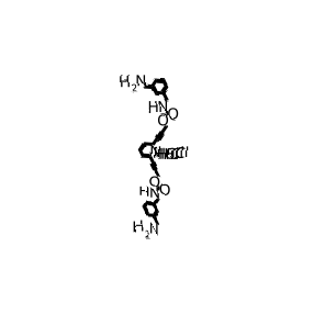 Cl.Cl.Cl.NCc1cccc(CNC(=O)OCC#Cc2cccc(C#CCOC(=O)NCc3cccc(CN)c3)n2)c1